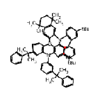 CC(C)(C)c1ccc(-c2cc(C(C)(C)C)ccc2N2c3cc4c(cc3B3c5ccc(C(C)(C)c6ccccc6)cc5N(c5cccc(C(C)(C)c6ccccc6)c5)c5cc(C(C)(C)C)cc2c53)C(C)(C)CCC4(C)C)cc1